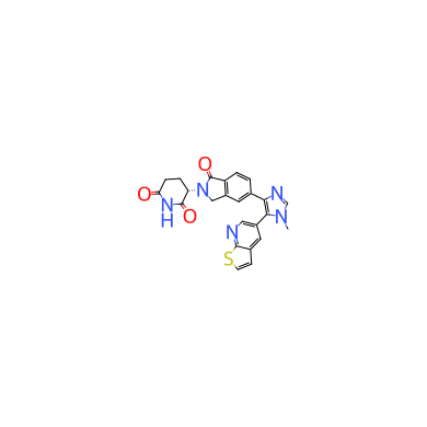 Cn1cnc(-c2ccc3c(c2)CN([C@H]2CCC(=O)NC2=O)C3=O)c1-c1cnc2sccc2c1